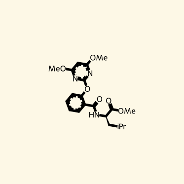 COC(=O)[C@@H](CC(C)C)NC(=O)c1ccccc1Oc1nc(OC)cc(OC)n1